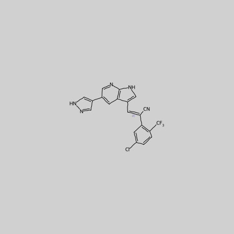 N#C/C(=C\c1c[nH]c2ncc(-c3cn[nH]c3)cc12)c1cc(Cl)ccc1C(F)(F)F